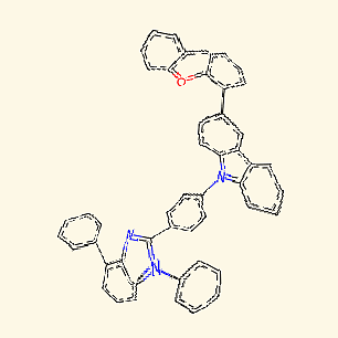 c1ccc(-c2cccc3c2nc(-c2ccc(-n4c5ccccc5c5cc(-c6cccc7c6oc6ccccc67)ccc54)cc2)n3-c2ccccc2)cc1